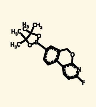 CC1(C)OB(c2ccc3c(c2)COc2nc(F)ccc2-3)OC1(C)C